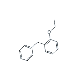 CCOc1ccc[c]c1Cc1ccccc1